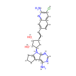 Nc1nc2cc(/C=C/[C@H]3C[C@@H](n4c5c(c6c(N)ncnc64)CCC5)[C@H](O)[C@@H]3O)ccc2cc1Cl